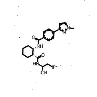 CC(C)C[C@@H](C#N)NC(=O)[C@@H]1CCCC[C@@H]1NC(=O)c1ccc(-c2ccn(C)n2)cc1